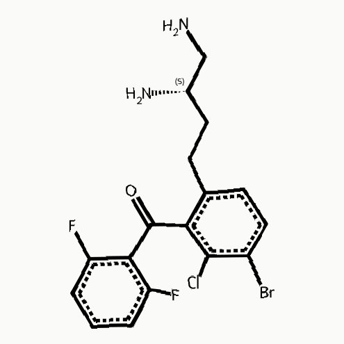 NC[C@@H](N)CCc1ccc(Br)c(Cl)c1C(=O)c1c(F)cccc1F